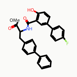 COC(=O)C(Cc1ccc(-c2ccccc2)cc1)NC(=O)c1cc(-c2ccc(F)cc2)ccc1O